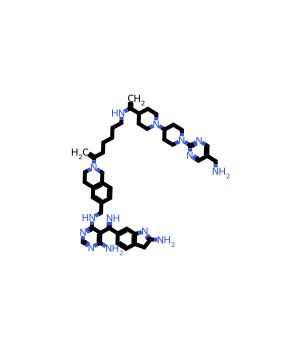 C=C(NCCCCCC(=C)N1CCc2cc(CNc3ncnc(N)c3C(=N)c3ccc4c(c3)N=C(N)C4)ccc2C1)C1CCN(C2CCN(c3ncc(CN)cn3)CC2)CC1